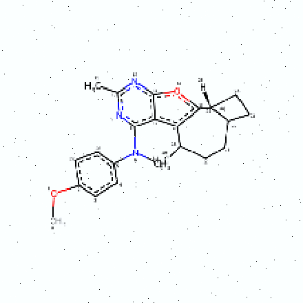 COc1ccc(N(C)c2nc(C)nc3oc4c(c23)C(C)CCC2CC[C@@H]42)cc1